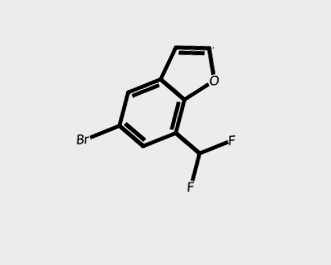 FC(F)c1cc(Br)cc2c[c]oc12